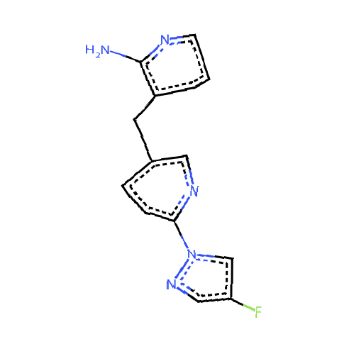 Nc1ncccc1Cc1ccc(-n2cc(F)cn2)nc1